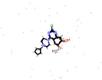 COc1cc2c(N3CCN(C4CCCC4)CC3)nc(Cl)nc2cc1O